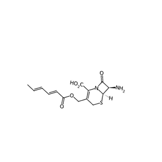 C/C=C/C=C/C(=O)OCC1=C(C(=O)O)N2C(=O)[C@@H](N)[C@H]2SC1